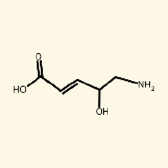 NCC(O)C=CC(=O)O